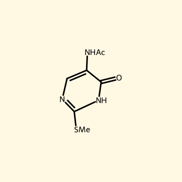 CSc1ncc(NC(C)=O)c(=O)[nH]1